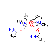 CCC(COCC(C)N)(COCC(C)N)COCC(CC)(COCC(C)N)COCC(C)N